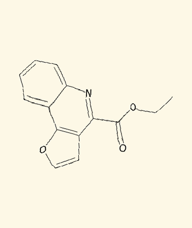 CCOC(=O)c1nc2ccccc2c2occc12